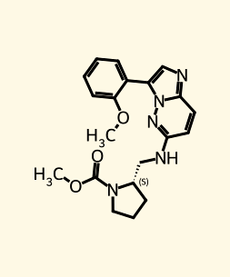 COC(=O)N1CCC[C@H]1CNc1ccc2ncc(-c3ccccc3OC)n2n1